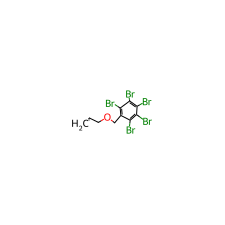 C=CCOCc1c(Br)c(Br)c(Br)c(Br)c1Br